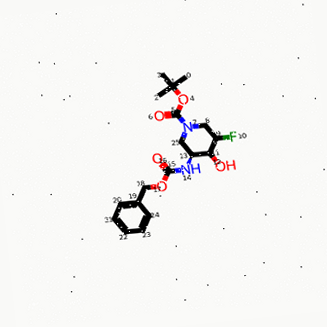 CC(C)(C)OC(=O)N1CC(F)C(O)[C@@H](NC(=O)OCc2ccccc2)C1